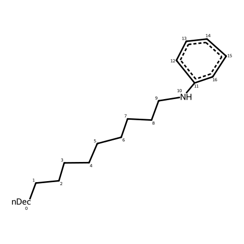 CCCCCCCCCCCCCCCCCCCNc1ccccc1